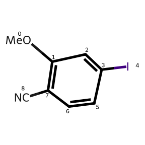 COc1cc(I)ccc1C#N